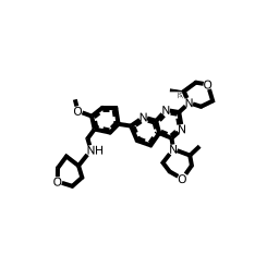 COc1ccc(-c2ccc3c(N4CCOCC4C)nc(N4CCOC[C@@H]4C)nc3n2)cc1CNC1CCOCC1